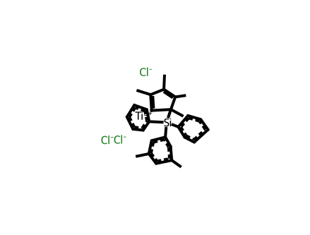 CC1=C(C)C(C)([Si](c2ccccc2)(c2ccccc2)c2cc(C)cc(C)c2)[C]([Ti+3])=C1C.[Cl-].[Cl-].[Cl-]